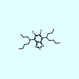 CCCCC(CCC)c1c(F)c(F)c(C(CCC)CCCC)c2nsnc12